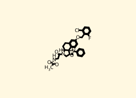 CS(=O)(=O)NCC(=O)N1CC[C@@]2(S(=O)(=O)c3ccccc3)c3ccc(OCc4c(F)cccc4Cl)cc3CC[C@@H]12